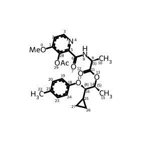 COc1ccnc(C(=O)N[C@@H](C)C(=O)O[C@@H](C)[C@H](Oc2ccc(C)cc2)C2CC2)c1OC(C)=O